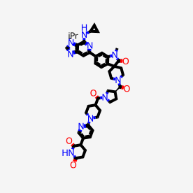 CC(C)n1cnc2cc(-c3ccc4c(c3)N(C)C(=O)C43CCN(C(=O)[C@H]4CCN(C(=O)C5CCN(c6ccc(C7CCC(=O)NC7=O)cn6)CC5)C4)CC3)nc(NC3CC3)c21